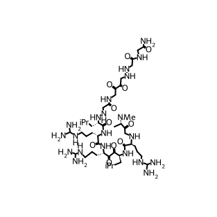 CN[C@@H](C)C(=O)CN[C@@H](CCCNC(N)N)C(=O)N[C@@H](CC(C)C)C(=O)C(=O)[C@H](CCCNC(N)N)NC(=O)[C@H](CCCNC(N)N)NC(=O)[C@H](CC(C)C)NNCC(=O)NCC(=O)C(=O)CNNCC(=O)NCC(N)=O